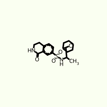 CC(NS(=O)(=O)c1ccc2c(c1)C(=O)NCC2)C1CC2CCC1CC2